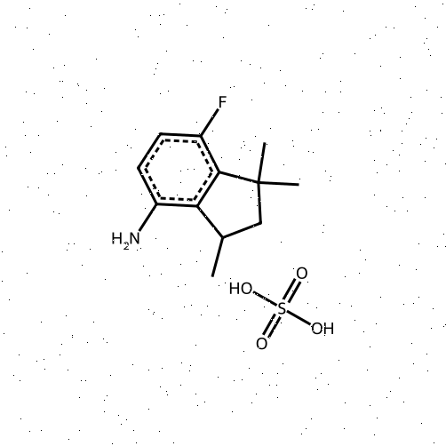 CC1CC(C)(C)c2c(F)ccc(N)c21.O=S(=O)(O)O